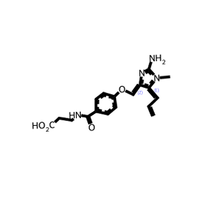 C=C/C=c1\c(=C\Oc2ccc(C(=O)NCCC(=O)O)cc2)nc(N)n1C